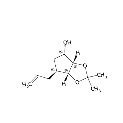 C=CC[C@H]1C[C@H](O)[C@@H]2OC(C)(C)O[C@H]12